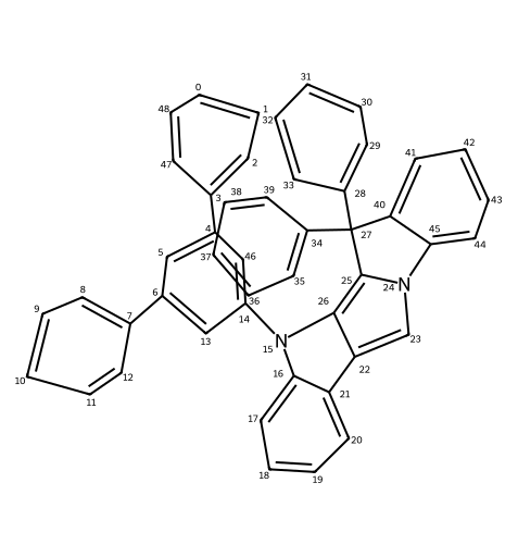 c1ccc(-c2cc(-c3ccccc3)cc(-n3c4ccccc4c4cn5c(c43)C(c3ccccc3)(c3ccccc3)c3ccccc3-5)c2)cc1